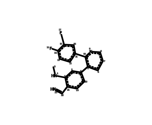 CNc1cc(-c2cccnc2-c2ccc(F)c(F)c2)ccc1C=N